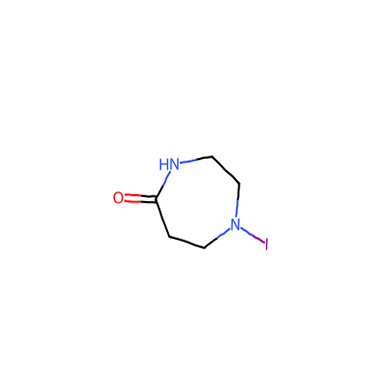 O=C1CCN(I)CCN1